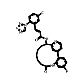 O=C(C=Cc1cc(Cl)ccc1-n1cnnn1)NC1CCCCCC(=O)Nc2cc(F)ccc2-c2ccnc1c2